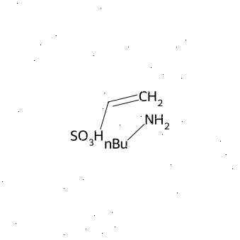 C=CS(=O)(=O)O.CCCCN